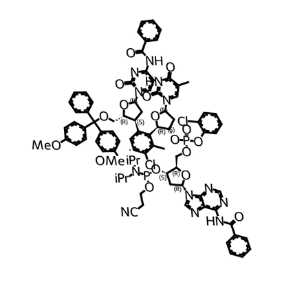 COc1ccc(C(OC[C@@H]2O[C@@H](n3ccc(NC(=O)c4ccccc4)nc3=O)C[C@H]2c2c[c]c(Cl)c(C)c2[C@H]2O[C@@H](n3cc(C)c(=O)[nH]c3=O)C[C@@H]2OP(=O)(OC[C@H]2O[C@@H](n3cnc4c(NC(=O)c5ccccc5)ncnc43)C[C@@H]2OP(OCCC#N)N(C(C)C)C(C)C)Oc2ccccc2Cl)(c2ccccc2)c2ccc(OC)cc2)cc1